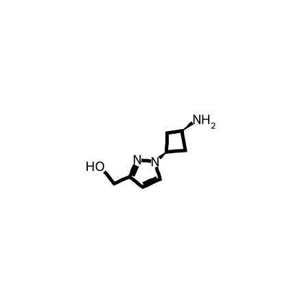 N[C@H]1C[C@@H](n2ccc(CO)n2)C1